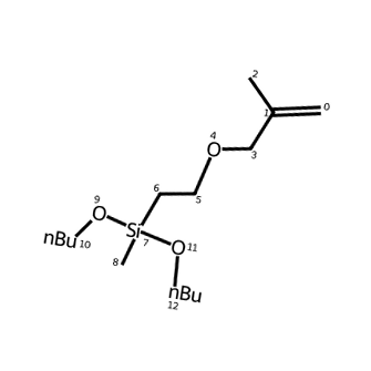 C=C(C)COCC[Si](C)(OCCCC)OCCCC